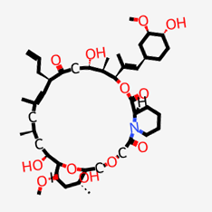 C=CC[C@@H]1/C=C(\C)C[C@H](C)C[C@H](O)[C@H]2O[C@@](O)(COCC(=O)N3CCCC[C@H]3C(=O)O[C@H](/C(C)=C/[C@@H]3CC[C@@H](O)[C@H](OC)C3)[C@H](C)[C@@H](O)CC1=O)[C@H](C)C[C@@H]2OC